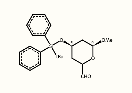 CO[C@@H]1C[C@H](O[Si](c2ccccc2)(c2ccccc2)C(C)(C)C)CC(C=O)O1